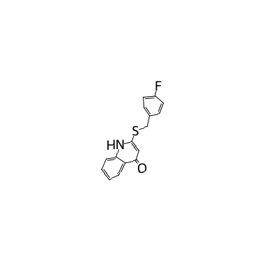 O=c1cc(SCc2ccc(F)cc2)[nH]c2ccccc12